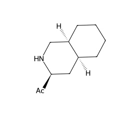 CC(=O)[C@@H]1C[C@@H]2CCCC[C@@H]2CN1